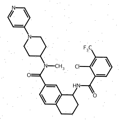 CN(C(=O)c1ccc2c(c1)C(NC(=O)c1cccc(C(F)(F)F)c1Cl)CCC2)C1CCN(c2ccncc2)CC1